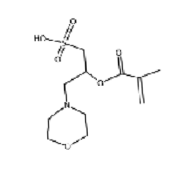 C=C(C)C(=O)OC(CN1CCOCC1)CS(=O)(=O)O